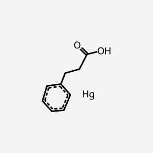 O=C(O)CCc1ccccc1.[Hg]